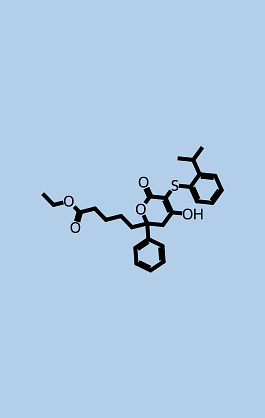 CCOC(=O)CCCCC1(c2ccccc2)CC(O)=C(Sc2ccccc2C(C)C)C(=O)O1